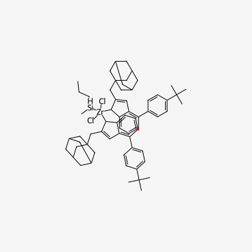 CCC[SiH](C)[Zr]([Cl])([Cl])([CH]1C(CC23CC4CC(CC(C4)C2)C3)=Cc2c(-c3ccc(C(C)(C)C)cc3)cccc21)[CH]1C(CC23CC4CC(CC(C4)C2)C3)=Cc2c(-c3ccc(C(C)(C)C)cc3)cccc21